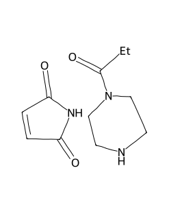 CCC(=O)N1CCNCC1.O=C1C=CC(=O)N1